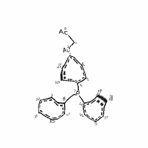 CC(=O)[CH2][Au].c1ccc(P(c2ccccc2)c2ccccc2)cc1